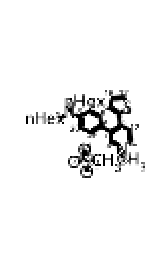 CCCCCCN(CCCCCC)c1ccc(-c2c[n+](C)ccc2-c2cccs2)cc1.CS(=O)(=O)[O-]